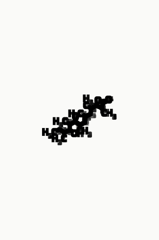 CCC(C)C(O)C(C)C(=O)C(C)/C=C(\C)CC(C)C1OC(=O)C1C